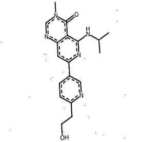 CC(C)Nc1nc(-c2ccc(CCO)nc2)cc2ncn(C)c(=O)c12